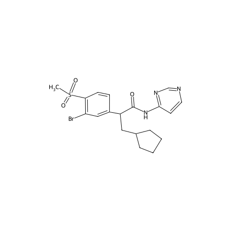 CS(=O)(=O)c1ccc(C(CC2CCCC2)C(=O)Nc2ccncn2)cc1Br